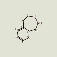 [c]1ccc2c(n1)CCCNC2